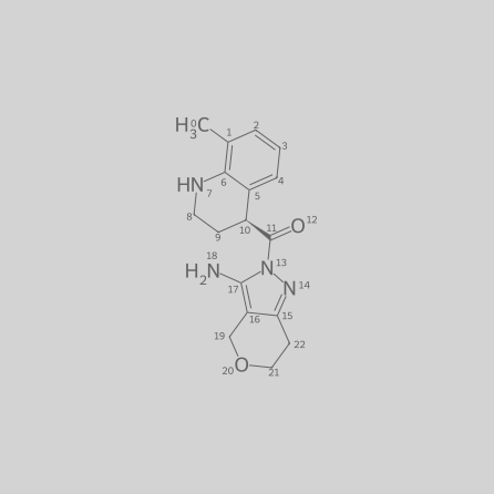 Cc1cccc2c1NCC[C@@H]2C(=O)n1nc2c(c1N)COCC2